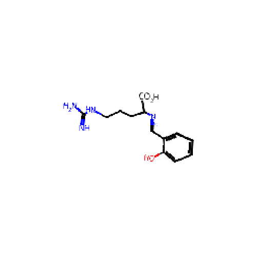 N=C(N)NCCCC(/N=C/c1ccccc1O)C(=O)O